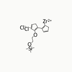 C[Si](C)(C)OCCOC1=C(C2=[C]([Zr+2])CC=C2)CC=C1.[Cl-].[Cl-]